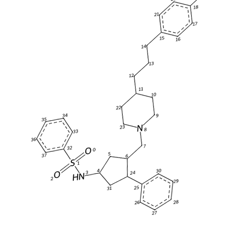 O=S(=O)(NC1CC(CN2CCC(CCCc3ccc(F)cc3)CC2)C(c2ccccc2)C1)c1ccccc1